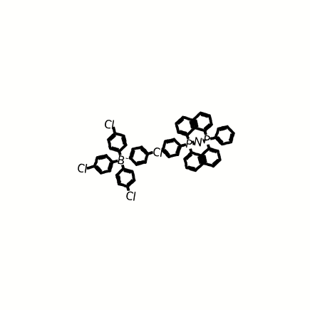 Clc1ccc([B-](c2ccc(Cl)cc2)(c2ccc(Cl)cc2)c2ccc(Cl)cc2)cc1.c1ccc(P(=[N+]=P(c2ccccc2)(c2ccccc2)c2ccccc2)(c2ccccc2)c2ccccc2)cc1